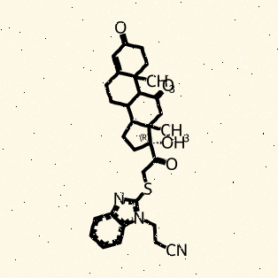 CC12CCC(=O)C=C1CCC1C2C(=O)CC2(C)C1CC[C@]2(O)C(=O)CSc1nc2ccccc2n1CCC#N